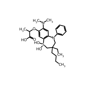 CCCCC1(CC)CN(c2ccccc2)c2cc(N(C)C)c(OC(C)C(=O)O)cc2S(O)(O)C1